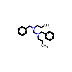 CCCN(Cc1ccccc1)CN(CCC)Cc1ccccc1